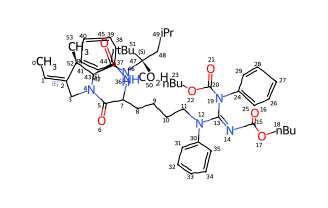 C/C=C1/CN(C(=O)C(CCCCN(C(=NC(=O)OCCCC)N(C(=O)OCCCC)c2ccccc2)c2ccccc2)Nc2ccccc2)[C@H](C(=O)N[C@](CC(C)C)(C(=O)O)C(C)(C)C)[C@@H]1C